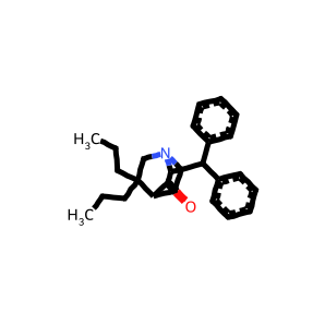 CCCC1(CCC)CN2CCC1C(=O)C2C(c1ccccc1)c1ccccc1